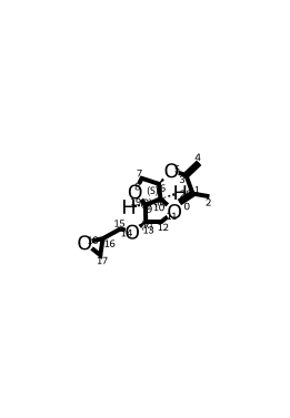 C=C(C)C(=C)O[C@H]1CO[C@H]2[C@@H]1OC[C@H]2OCC1CO1